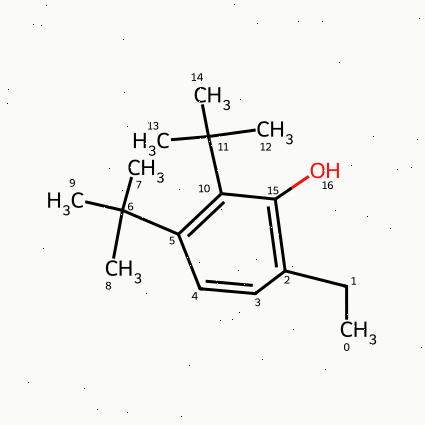 CCc1ccc(C(C)(C)C)c(C(C)(C)C)c1O